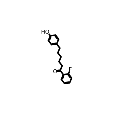 O=C(CCCCCc1ccc(O)cc1)c1ccccc1F